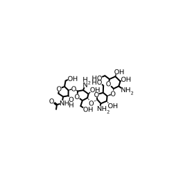 CC(=O)NC1COC(CO)[C@@H](O[C@@H]2OC(CO)[C@@H](O[C@@H]3OC(CO)[C@@H](O[C@@H]4OC(CO)[C@@H](O)[C@H](O)C4N)[C@H](O)C3N)[C@H](O)C2N)[C@@H]1O